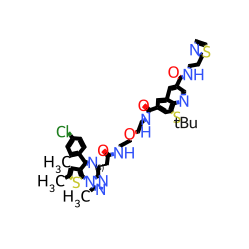 Cc1sc2c(c1C)C(c1ccc(Cl)cc1)=N[C@@H](CC(=O)NCCOCCNC(=O)c1cc(SC(C)(C)C)c3ncc(C(=O)NCCc4nccs4)cc3c1)c1nnc(C)n1-2